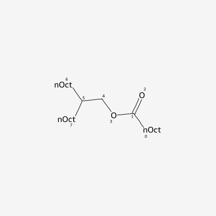 CCCCCCCCC(=O)OCC(CCCCCCCC)CCCCCCCC